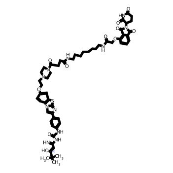 CC(C)(C)/C(O)=C/C(=N)NC(=O)Nc1ccc(-c2cn3c(n2)sc2cc(OCCN4CCN(C(=O)CCC(=O)NCCCCCCCCNC(=O)COc5cccc6c5C(=O)N(C5CCC(=O)NC5=O)C6=O)CC4)ccc23)cc1